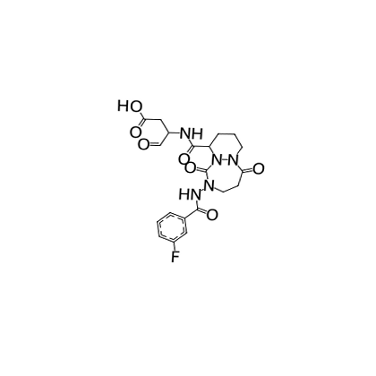 O=CC(CC(=O)O)NC(=O)C1CCCN2C(=O)CCN(NC(=O)c3cccc(F)c3)C(=O)N12